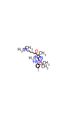 Cc1c(C(=O)CCCCCN(C)C)n(C)c2c(Nc3ccc(I)cc3OC(C)C)ncnc12